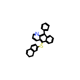 C1=Cc2ccc(Sc3c4ccccc4c(-c4ccccc4)c4ncccc34)cc2CC1